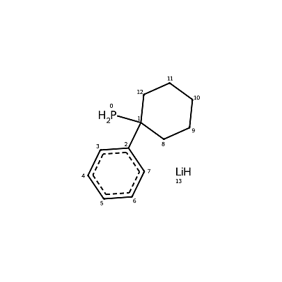 PC1(c2ccccc2)CCCCC1.[LiH]